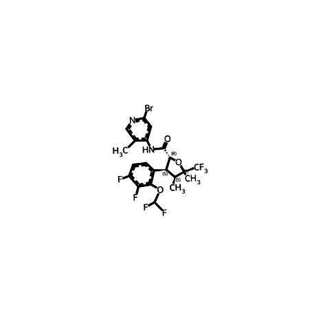 Cc1cnc(Br)cc1NC(=O)[C@@H]1O[C@@](C)(C(F)(F)F)[C@@H](C)[C@H]1c1ccc(F)c(F)c1OC(F)F